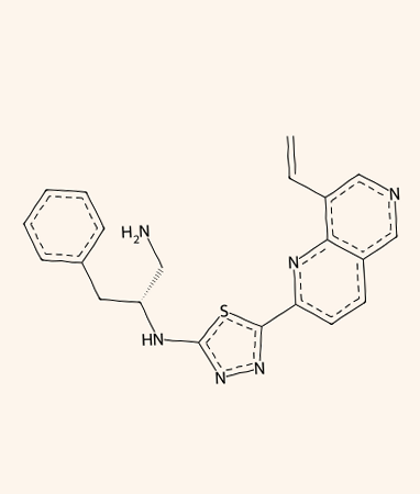 C=Cc1cncc2ccc(-c3nnc(N[C@@H](CN)Cc4ccccc4)s3)nc12